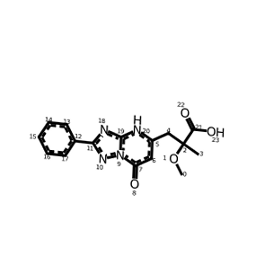 COC(C)(Cc1cc(=O)n2nc(-c3ccccc3)nc2[nH]1)C(=O)O